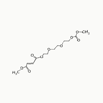 COC(=O)C=CC(=O)OCCOCCOCCOC(=O)OC